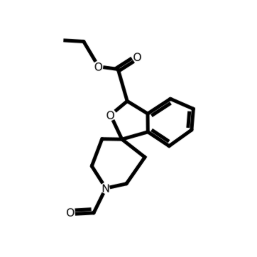 CCOC(=O)C1OC2(CCN(C=O)CC2)c2ccccc21